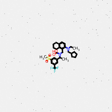 CCN(CC1CCCC1)c1ccc2c(c1CN(C(=O)O)C(C)c1cc(C(F)(F)F)cc(S(C)(=O)=O)c1)CCCC2